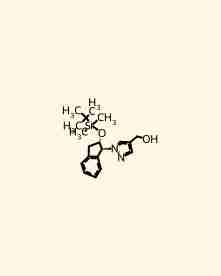 CC(C)(C)[Si](C)(C)O[C@H]1Cc2ccccc2[C@@H]1n1cc(CO)cn1